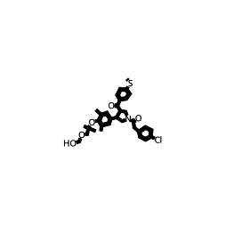 CSc1ccc(C(=O)C2CN(C(=O)Cc3ccc(Cl)cc3)CC2c2cc(C)c(OC(C)(C)COCO)c(C)c2)cc1